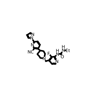 CCNC(=O)Nc1nccc(CN2CCC(c3ccc(-n4cccn4)nc3C#N)CC2)c1F